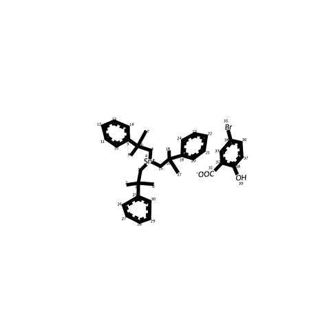 CC(C)([CH2][Sn+]([CH2]C(C)(C)c1ccccc1)[CH2]C(C)(C)c1ccccc1)c1ccccc1.O=C([O-])c1cc(Br)ccc1O